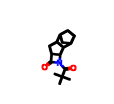 CC(C)(C)C(=O)N1C(=O)C2CC3C4CCC(C4)C3C21